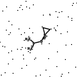 CC(C)O[SiH]1CC1